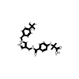 CC(C)(Sc1ccc(C(=O)OCc2cnn(Cc3ccc(C(C)(C)C)cc3)c2)cc1)C(=O)O